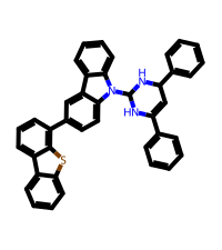 C1=C(c2ccccc2)NC(n2c3ccccc3c3cc(-c4cccc5c4sc4ccccc45)ccc32)NC1c1ccccc1